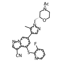 CC(=O)N1CCO[C@H](Cn2ncc(-c3cc(Sc4ncccc4F)c4c(C#N)cnn4c3)c2C)C1